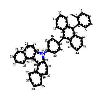 Cc1ccccc1-c1c2ccccc2c(-c2ccc(-n3c4ccc5ccccc5c4c4c5ccccc5ccc43)cc2)c2ccccc12